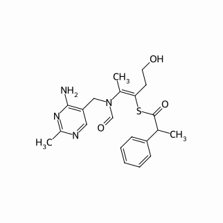 C/C(=C(\CCO)SC(=O)C(C)c1ccccc1)N(C=O)Cc1cnc(C)nc1N